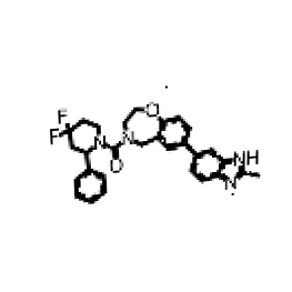 Cc1nc2ccc(-c3ccc4c(c3)CN(C(=O)N3CCC(F)(F)CC3c3ccccc3)CCO4)cc2[nH]1